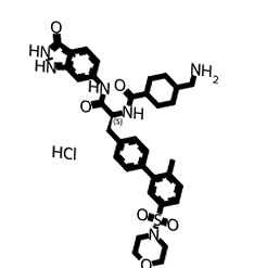 Cc1ccc(S(=O)(=O)N2CCOCC2)cc1-c1ccc(C[C@H](NC(=O)C2CCC(CN)CC2)C(=O)Nc2ccc3c(=O)[nH][nH]c3c2)cc1.Cl